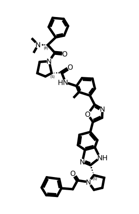 Cc1c(NC(=O)[C@@H]2CCCN2C(=O)[C@@H](c2ccccc2)N(C)C)cccc1-c1ncc(-c2ccc3nc([C@@H]4CCCN4C(=O)Cc4ccccc4)[nH]c3c2)o1